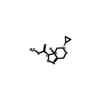 COC(=O)[C@@H]1ON=C2CO[C@@H](C3CC3)C[C@H]21